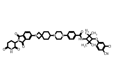 CC1(C)C(NC(=O)c2ccc(N3CCN(C4CCC5(CC4)CN(c4ccc6c(c4)C(=O)N(C4CCC(=O)NC4=O)C6=O)C5)CC3)cc2)C(C)(C)C1Oc1ccc(C#N)c(Cl)c1